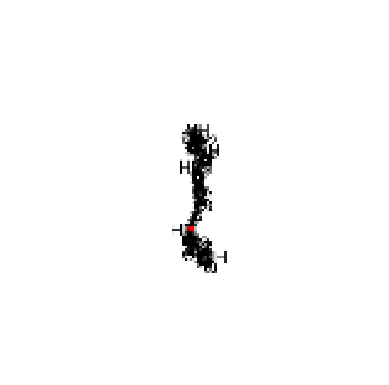 Cc1cnc(Nc2ccc(N3CCN(C(=O)CCCCCCNc4ccc5c(c4)C(=O)N(C4CCC(=O)NC4=O)C5=O)CC3)cc2)nc1Nc1cccc(S(N)(=O)=O)c1C(C)(C)C